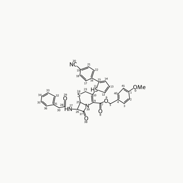 COc1ccc(COC(=O)C2=C([SH]3C=CC=C3c3ccc(C#N)cc3)CSC3C(NC(=O)Cc4ccccc4)C(=O)N23)cc1